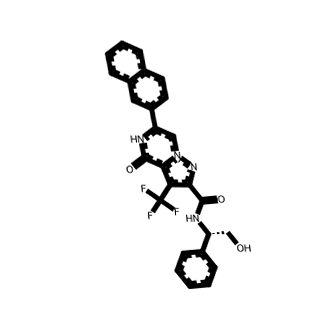 O=C(N[C@H](CO)c1ccccc1)c1nn2cc(-c3ccc4ccccc4c3)[nH]c(=O)c2c1C(F)(F)F